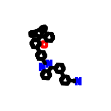 N#Cc1cccc(-c2cccc(-c3nc(-c4ccc(-c5cccc6c5Oc5ccccc5C65c6ccccc6-c6ccccc65)cc4)nc4ccccc34)c2)c1